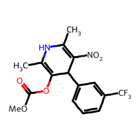 COC(=O)OC1=C(C)NC(C)=C([N+](=O)[O-])C1c1cccc(C(F)(F)F)c1